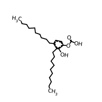 CCCCCCCCCCc1ccc(OC(=O)O)c(O)c1CCCCCCCCCC